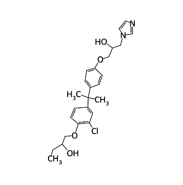 CCC(O)COc1ccc(C(C)(C)c2ccc(OCC(O)Cn3ccnc3)cc2)cc1Cl